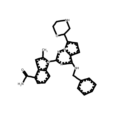 Cc1cc2c(C(N)=O)cccc2n1-c1nc(NCc2ccccc2)c2ccc(C3CNCCO3)n2n1